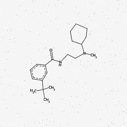 CN(CCNC(=O)c1cccc(C(C)(C)C)c1)C1CCCCC1